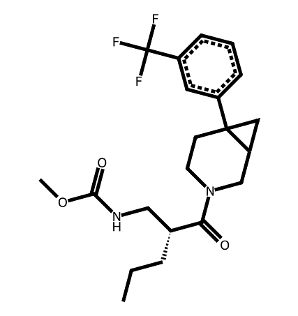 CCC[C@H](CNC(=O)OC)C(=O)N1CCC2(c3cccc(C(F)(F)F)c3)CC2C1